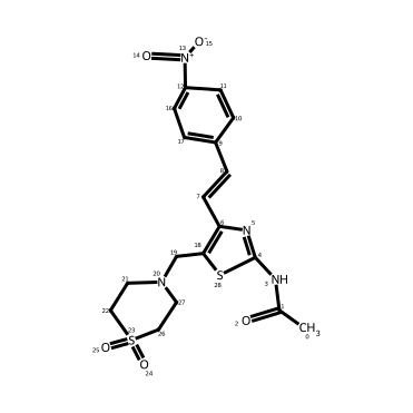 CC(=O)Nc1nc(C=Cc2ccc([N+](=O)[O-])cc2)c(CN2CCS(=O)(=O)CC2)s1